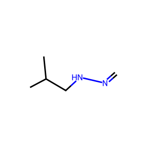 C=NNCC(C)C